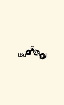 CC(C)(C)c1ccc(C(=O)N2CCN(c3cccnc3)CC2)cc1